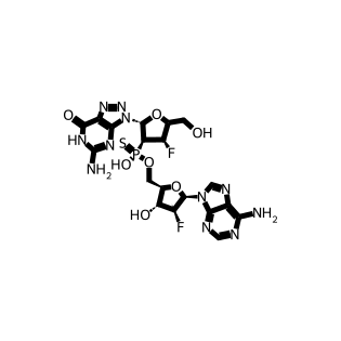 Nc1nc2c(nnn2[C@@H]2OC(CO)[C@@H](F)[C@H]2P(O)(=S)OC[C@H]2O[C@@H](n3cnc4c(N)ncnc43)[C@@H](F)[C@@H]2O)c(=O)[nH]1